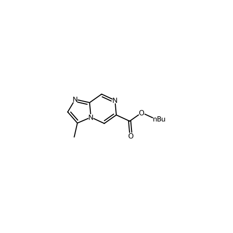 CCCCOC(=O)c1cn2c(C)cnc2cn1